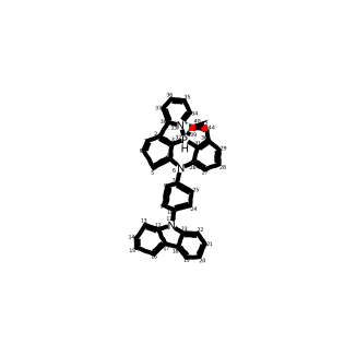 c1cc2c3c(c1)N(c1ccc(-n4c5ccccc5c5ccccc54)cc1)c1cccc4c1[PH]3([n+]1ccccc1-2)[n+]1ccccc1-4